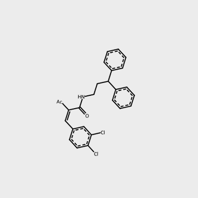 CC(=O)C(=Cc1ccc(Cl)c(Cl)c1)C(=O)NCCC(c1ccccc1)c1ccccc1